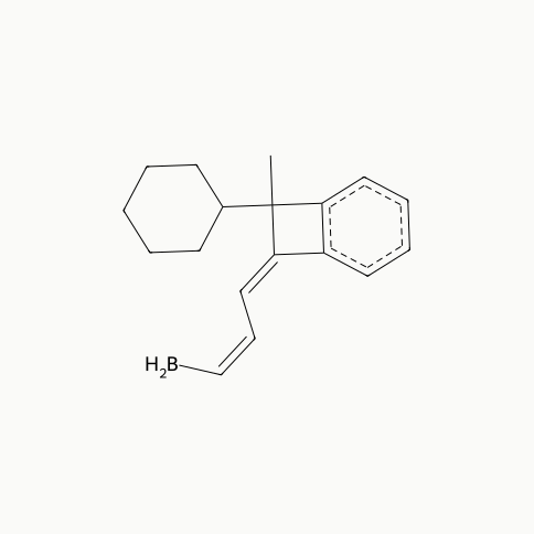 B/C=C\C=C1/c2ccccc2C1(C)C1CCCCC1